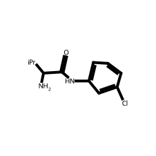 CC(C)C(N)C(=O)Nc1cccc(Cl)c1